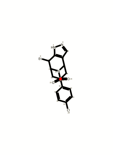 CCC1c2[nH]ncc2C2CCCC1N2S(=O)(=O)c1ccc(Cl)cc1